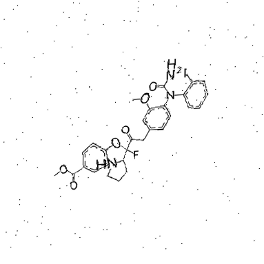 COC(=O)c1ccc(OC(F)(C(=O)Cc2ccc(N(C(N)=O)c3ccccc3I)c(OC)c2)C2CCCN2)cc1